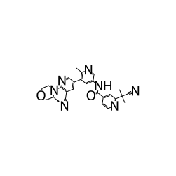 Cc1ncc(NC(=O)c2ccnc(C(C)(C)C#N)c2)cc1-c1cnc(N2CCOC[C@@H]2C)c(C#N)c1